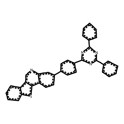 c1ccc(-c2nc(-c3ccccc3)nc(-c3ccc(-c4ccc5c(c4)ncc4c6ccccc6sc54)cc3)n2)cc1